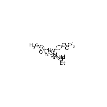 CC[C@H](F)CNc1ncc(-c2ccc(N3CCN(C)CC3=O)cn2)c(NC2CCC(OC(=O)C(F)(F)F)CC2)n1